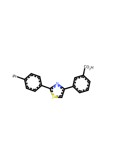 CC(C)c1ccc(-c2nc(-c3cccc(C(=O)O)c3)cs2)cc1